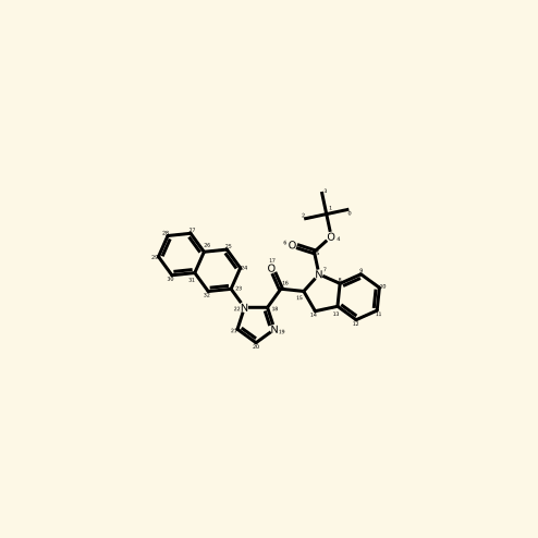 CC(C)(C)OC(=O)N1c2ccccc2CC1C(=O)c1nccn1-c1ccc2ccccc2c1